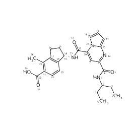 CCC(CC)NC(=O)c1cc(C(=O)N[C@H]2CCc3c2ccc(C(=O)O)c3C)n2nccc2n1